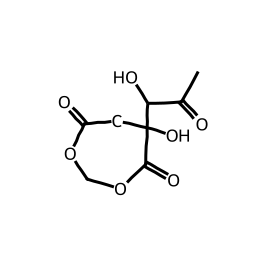 CC(=O)C(O)C1(O)CC(=O)OCOC1=O